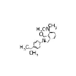 CC(C)c1ccc(N2Cc3cccc(N(C)C)c3C2=O)cc1